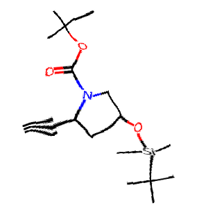 C#CC1CC(O[Si](C)(C)C(C)(C)C)CN1C(=O)OC(C)(C)C